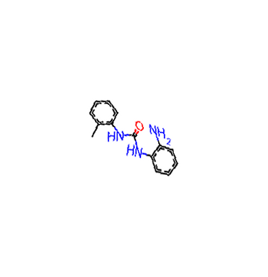 Cc1ccccc1NC(=O)Nc1ccccc1N